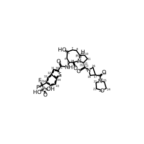 O=C(NC1C[C@H](O)CC[C@H]2CC[C@@H](C(=O)N3CC(C(=O)N4CCOCC4)C3)N2C1=O)c1cc2cc(C(F)(F)P(=O)(O)O)ccc2s1